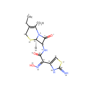 CC(=O)OCC1=C(C(=O)O)N2C(=O)C(NC(=O)/C(=N\O)c3csc(=N)[nH]3)[C@H]2SC1